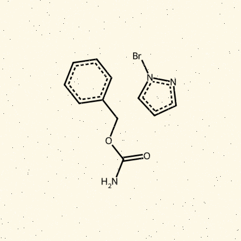 Brn1cccn1.NC(=O)OCc1ccccc1